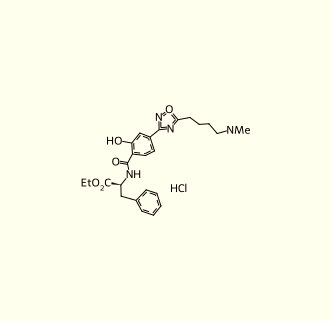 CCOC(=O)[C@H](Cc1ccccc1)NC(=O)c1ccc(-c2noc(CCCCNC)n2)cc1O.Cl